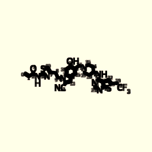 C=CC(=O)Nc1nc(CCn2c(C#N)cc3cc(CN4CCC(Nc5ncnc6sc(CC(F)(F)F)cc56)CC4)c(O)cc32)cs1